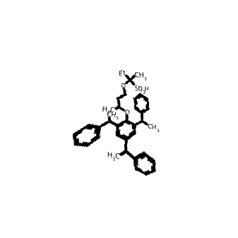 CCC(C)(OCCC(C)Oc1c(C(C)c2ccccc2)cc(C(C)c2ccccc2)cc1C(C)c1ccccc1)S(=O)(=O)O